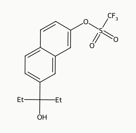 CCC(O)(CC)c1ccc2ccc(OS(=O)(=O)C(F)(F)F)cc2c1